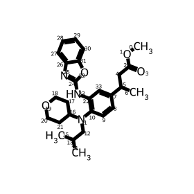 COC(=O)CC(C)c1ccc(N(CC(C)C)C2CCOCC2)c(Nc2nc3ccccc3o2)c1